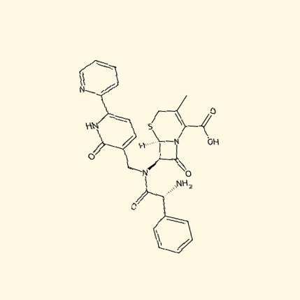 CC1=C(C(=O)O)N2C(=O)[C@@H](N(Cc3ccc(-c4ccccn4)[nH]c3=O)C(=O)[C@H](N)c3ccccc3)[C@H]2SC1